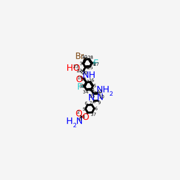 NC(=O)O[C@H]1CC[C@H](c2cnc(N)c(-c3ccc(C(=O)N[C@H](CO)c4cc(F)cc(Br)c4)c(F)c3)n2)CC1